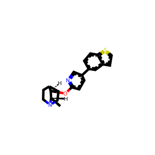 C[C@H]1[C@H](Oc2ccc(-c3ccc4sccc4c3)cn2)C2CCN1CC2